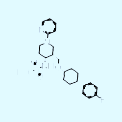 CS(=O)(=O)N[C@H]1CCN(c2ccccn2)C[C@H]1CO[C@H]1CC[C@@H](c2ccc(F)cc2)CC1